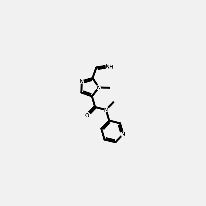 CN(C(=O)c1cnc(C=N)n1C)c1cccnc1